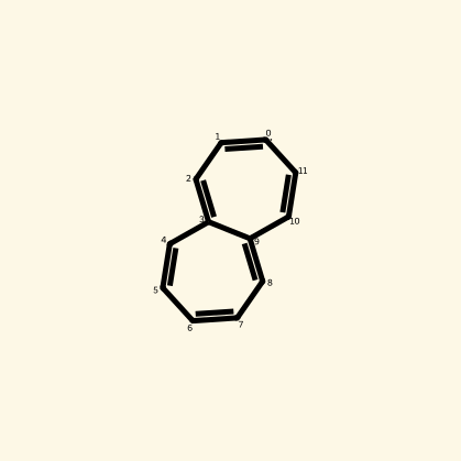 [C]1=CC=C2C=CC=CC=C2C=C1